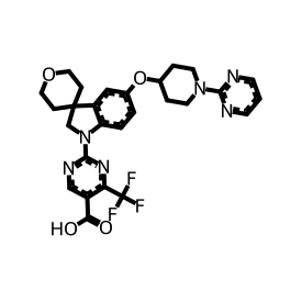 O=C(O)c1cnc(N2CC3(CCOCC3)c3cc(OC4CCN(c5ncccn5)CC4)ccc32)nc1C(F)(F)F